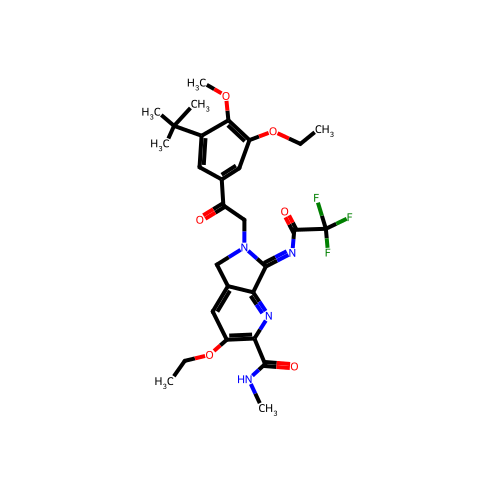 CCOc1cc2c(nc1C(=O)NC)/C(=N/C(=O)C(F)(F)F)N(CC(=O)c1cc(OCC)c(OC)c(C(C)(C)C)c1)C2